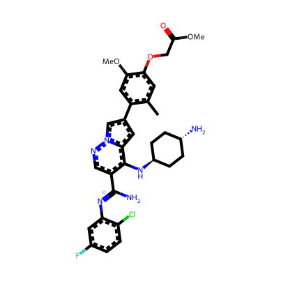 COC(=O)COc1cc(C)c(-c2cc3c(N[C@H]4CC[C@H](N)CC4)c(/C(N)=N/c4cc(F)ccc4Cl)cnn3c2)cc1OC